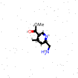 COC(=O)c1cnc(CN)cc1C